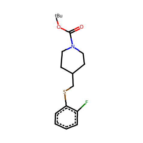 CC(C)(C)OC(=O)N1CCC(CSc2ccccc2F)CC1